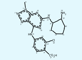 Cn1nnc2c(Nc3ccc(C(=O)O)c(Cl)c3)nc(NC3CCCCC3N)nc21